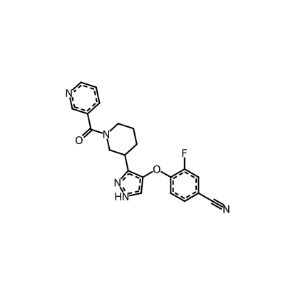 N#Cc1ccc(Oc2c[nH]nc2C2CCCN(C(=O)c3cccnc3)C2)c(F)c1